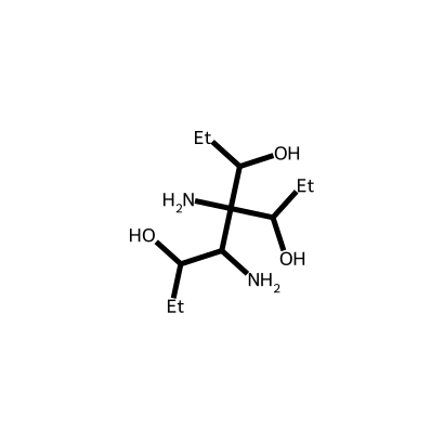 CCC(O)C(N)C(N)(C(O)CC)C(O)CC